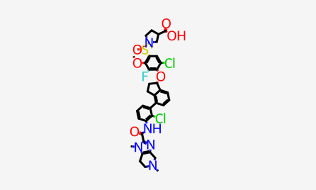 COc1c([S+]([O-])N2CCC(C(=O)O)C2)cc(Cl)c(OC2CCc3c(-c4cccc(NC(=O)c5nc6c(n5C)CCN(C)C6)c4Cl)cccc32)c1F